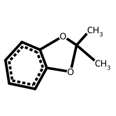 CC1(C)Oc2ccccc2O1